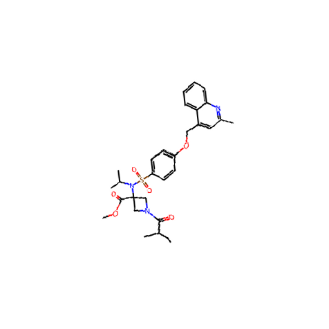 COC(=O)C1(N(C(C)C)S(=O)(=O)c2ccc(OCc3cc(C)nc4ccccc34)cc2)CN(C(=O)C(C)C)C1